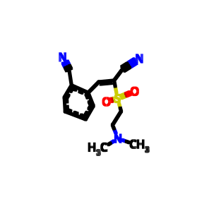 CN(C)CCS(=O)(=O)C(C#N)=Cc1ccccc1C#N